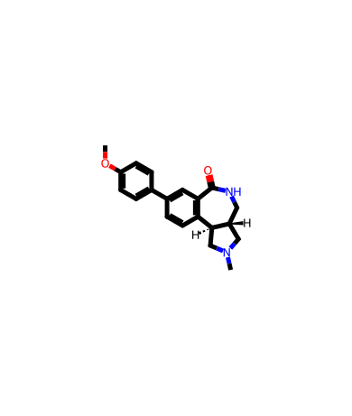 COc1ccc(-c2ccc3c(c2)C(=O)NC[C@@H]2CN(C)C[C@@H]32)cc1